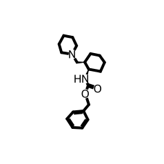 O=C(N[C@@H]1CCCC[C@@H]1CN1CCCCC1)OCc1ccccc1